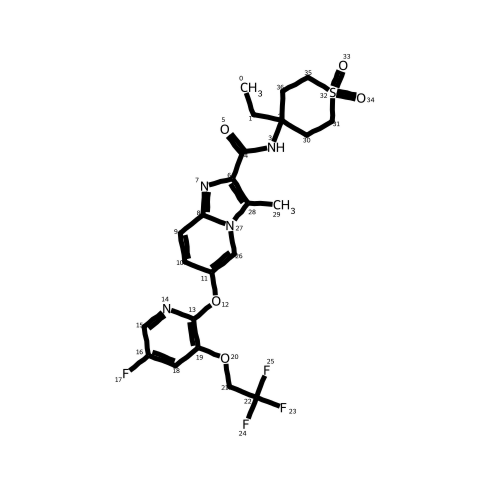 CCC1(NC(=O)c2nc3ccc(Oc4ncc(F)cc4OCC(F)(F)F)cn3c2C)CCS(=O)(=O)CC1